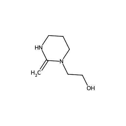 C=C1NCCCN1CCO